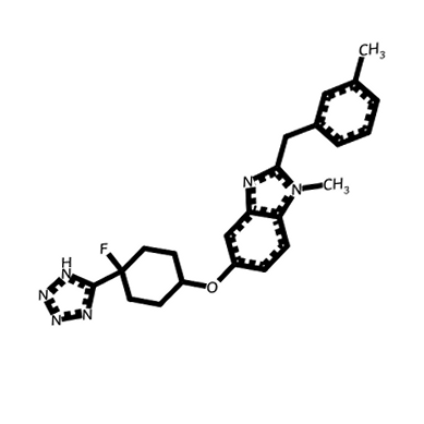 Cc1cccc(Cc2nc3cc(OC4CCC(F)(c5nnn[nH]5)CC4)ccc3n2C)c1